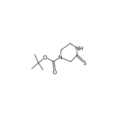 CC(C)(C)OC(=O)N1CCNC(=S)C1